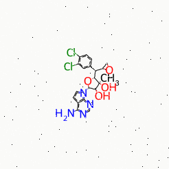 C[C@@]1(O)[C@@H]([C@@H](c2ccc(Cl)c(Cl)c2)C2CO2)O[C@@H](n2ccc3c(N)ncnc32)[C@@H]1O